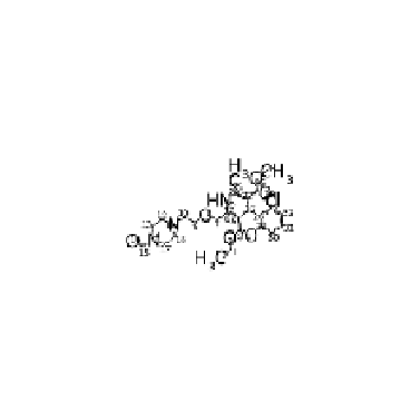 CCOC(=O)C1=C(COCCN2CCN(C=O)CC2)NC(C)=C(C(=O)OC)C1c1ccccc1Cl